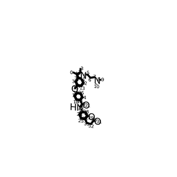 Cc1c(C)n(CCCN(C)C)c2ccc(Oc3ccc(C(=O)Nc4ccc5c(c4)OC(=O)CC5)cc3)cc12